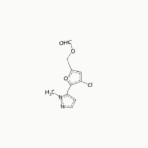 Cn1nccc1-c1oc(COC=O)cc1Cl